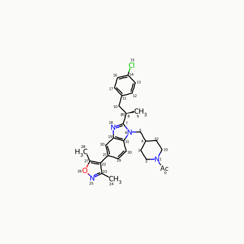 CC(=O)N1CCC(Cn2c([C@H](C)Cc3ccc(Cl)cc3)nc3cc(-c4c(C)noc4C)ccc32)CC1